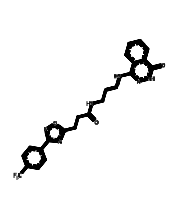 O=C(CCc1nc(-c2ccc(C(F)(F)F)cc2)no1)NCCCNc1n[nH]c(=O)c2ccccc12